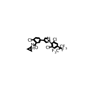 O=C(NC1CC1)c1cc(-c2cnn(-c3c(Cl)cc(C(F)(C(F)(F)F)C(F)(F)F)cc3Cl)c2)ccc1Cl